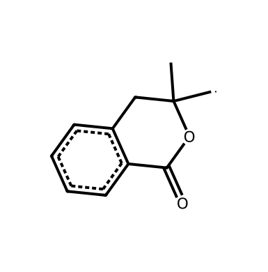 [CH2]C1(C)Cc2ccccc2C(=O)O1